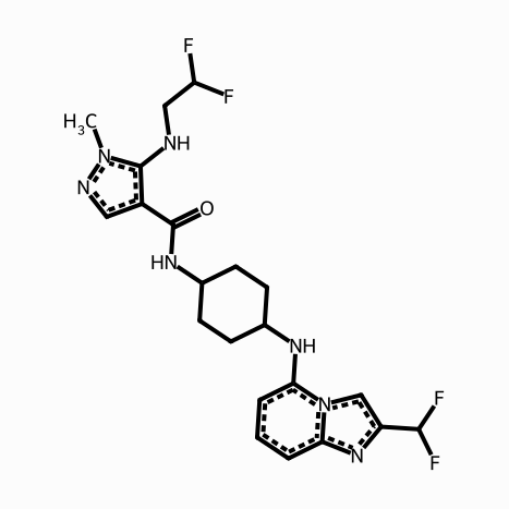 Cn1ncc(C(=O)NC2CCC(Nc3cccc4nc(C(F)F)cn34)CC2)c1NCC(F)F